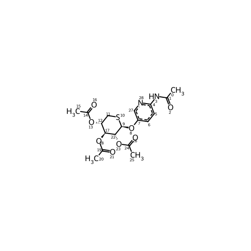 CC(=O)Nc1ccc(O[C@@H]2SC[C@@H](OC(C)=O)[C@H](OC(C)=O)[C@H]2OC(C)=O)cn1